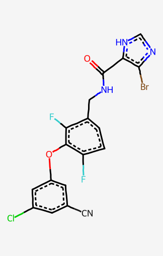 N#Cc1cc(Cl)cc(Oc2c(F)ccc(CNC(=O)c3[nH]cnc3Br)c2F)c1